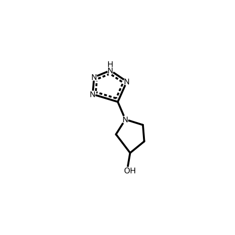 OC1CCN(c2nn[nH]n2)C1